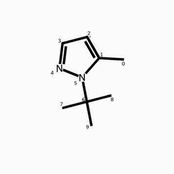 Cc1[c]cnn1C(C)(C)C